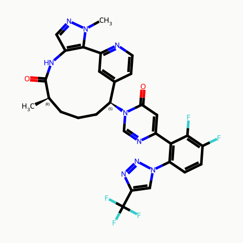 C[C@@H]1CCC[C@H](n2cnc(-c3c(-n4cc(C(F)(F)F)nn4)ccc(F)c3F)cc2=O)c2ccnc(c2)-c2c(cnn2C)NC1=O